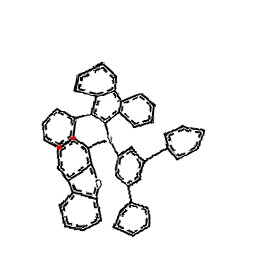 c1ccc(-c2cc(-c3ccccc3)cc(N(c3c(-c4ccccc4)c4ccccc4c4ccccc34)c3cccc4c3oc3ccccc34)c2)cc1